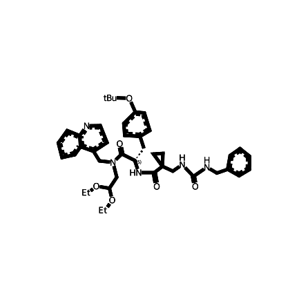 CCOC(CN(Cc1ccnc2ccccc12)C(=O)[C@H](Cc1ccc(OC(C)(C)C)cc1)NC(=O)C1(CNC(=O)NCc2ccccc2)CC1)OCC